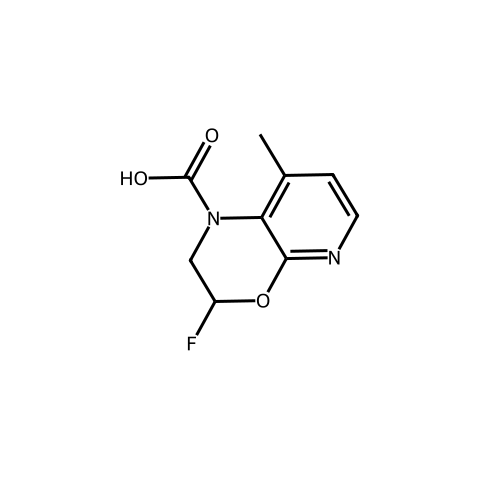 Cc1ccnc2c1N(C(=O)O)CC(F)O2